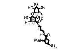 CNC1CC(N)CC1C(=O)NCCCNC(=O)[C@H](O)[C@@H](O)[C@H](OC1O[C@H](CO)[C@H](O)[C@H](O)[C@H]1O)[C@H](O)CO